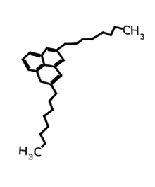 CCCCCCCCC1=Cc2cc(CCCCCCCC)cc3cccc(c23)C1